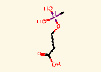 C[PH](O)(O)OCCC(=O)O